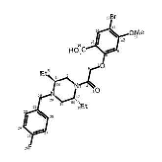 CC[C@H]1CN(C(=O)COc2cc(OC)c(Br)cc2C(=O)O)[C@H](CC)CN1Cc1ccc(F)cc1